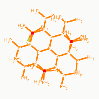 PP(P)P(P=S)P(P(P(P)P)P(P)P)P(P(P(P(P)P)P(P)P)P(P(P)P)P(P)P)P(P(P(P)P)P(P)P)P(P(P)P)P(P)P